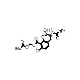 CCCC(=O)N[C@H]1Cc2ccc(Cl)c(C(=O)OCOC(=O)C(C)(C)C)c2OB1O